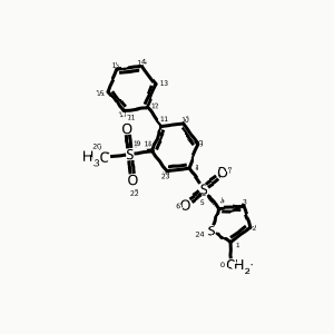 [CH2]c1ccc(S(=O)(=O)c2ccc(-c3ccccc3)c(S(C)(=O)=O)c2)s1